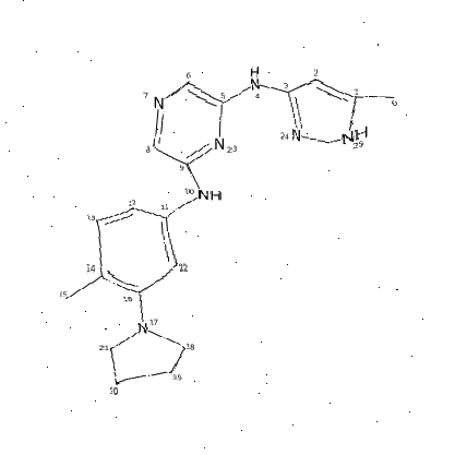 Cc1cc(Nc2cncc(Nc3ccc(C)c(N4CCCC4)c3)n2)n[nH]1